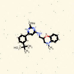 COc1nc(NCC2CN(C)c3ccccc3O2)cc(-c2cccc(C(C)(C)C(=O)O)c2)n1